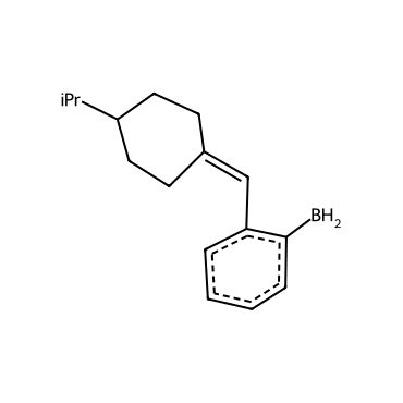 Bc1ccccc1C=C1CCC(C(C)C)CC1